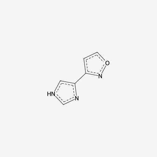 c1nc(-c2ccon2)c[nH]1